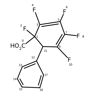 O=C(O)C1(F)C(F)=C(F)C(F)=C(F)C1c1ccccc1